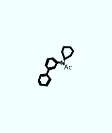 CC(=O)N(c1cccc(-c2ccccc2)c1)C1CCCCC1